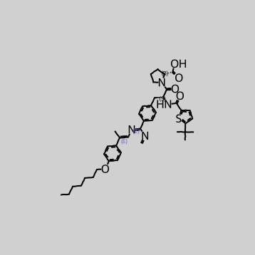 C=N/C(=N\C=C(/C)c1ccc(OCCCCCCC)cc1)c1ccc(C[C@H](NC(=O)c2ccc(C(C)(C)C)s2)C(=O)N2CCC[C@@H]2C(=O)O)cc1